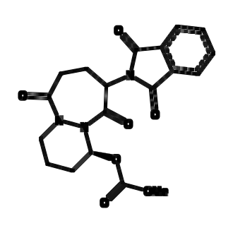 COC(=O)O[C@H]1CCCN2C(=O)CCC(N3C(=O)c4ccccc4C3=O)C(=O)N12